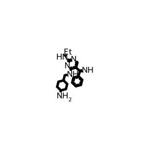 CCNc1ncc(C(=N)c2ccccc2)c(NCC2CCC(N)CC2)n1